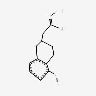 CCC/C(CC1CCc2c(cccc2OOC(C)=O)C1)=N\O